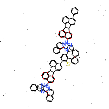 c1ccc(-c2nc(-c3ccccc3)nc(-c3ccc4c5c(cccc35)C35c6cccc7c(-c8ccc(-c9cccc%10c9c9ccccc9n%10-c9ccc%10c%11c(cccc9%11)C9%11c%12cccc%13c(-c%14ccccc%14)ccc(c%12%13)C%109c9ccc(-c%10nc(-c%12ccccc%12)nc(-c%12ccccc%12)n%10)c%10cccc%11c9%10)c9c8sc8ccccc89)ccc(c67)C43c3ccc(-n4c6ccccc6c6ccccc64)c4cccc5c34)n2)cc1